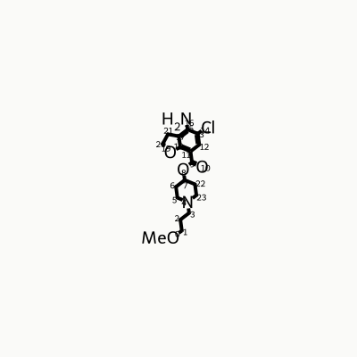 COCCCN1CCC(OC(=O)c2cc(Cl)c(N)c3c2OCC3)CC1